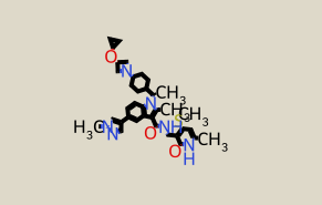 CSc1cc(C)[nH]c(=O)c1CNC(=O)c1c(C)n([C@H](C)C2CCC(N3CC(OC4CC4)C3)CC2)c2ccc(-c3cnn(C)c3)cc12